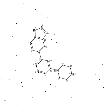 Cc1n[nH]c2ccc(-c3nncc(N4CCNCC4)n3)cc12